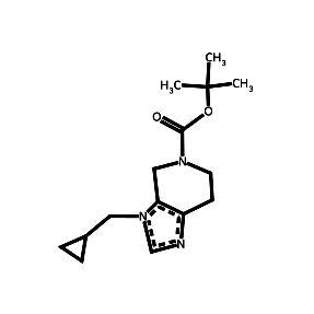 CC(C)(C)OC(=O)N1CCc2ncn(CC3CC3)c2C1